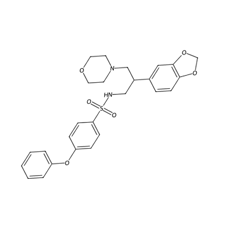 O=S(=O)(NCC(CN1CCOCC1)c1ccc2c(c1)OCO2)c1ccc(Oc2ccccc2)cc1